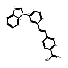 O=C(O)c1ccc(/C=C/c2cccc(-n3cnc4ccccc43)c2)cc1